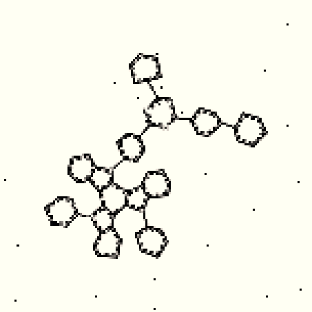 c1ccc(-c2ccc(-c3nc(-c4ccccc4)nc(-c4ccc(-n5c6ccccc6c6c7c(c8ccccc8n7-c7ccccc7)c7c(c8ccccc8n7-c7ccccc7)c65)cc4)n3)cc2)cc1